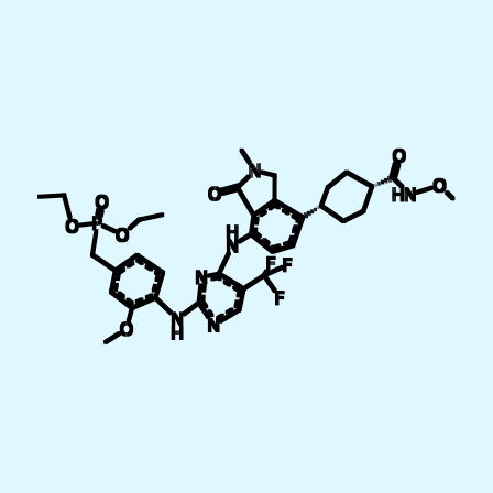 CCOP(=O)(Cc1ccc(Nc2ncc(C(F)(F)F)c(Nc3ccc([C@H]4CC[C@@H](C(=O)NOC)CC4)c4c3C(=O)N(C)C4)n2)c(OC)c1)OCC